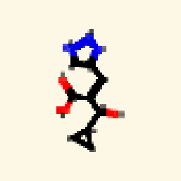 O=C(O)C(=Cc1c[nH]nn1)C(=O)C1CC1